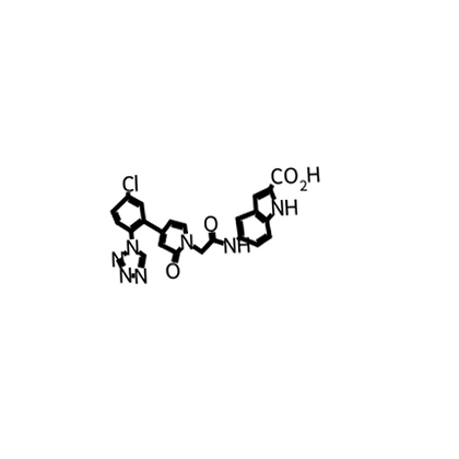 O=C(Cn1ccc(-c2cc(Cl)ccc2-n2cnnn2)cc1=O)Nc1ccc2[nH]c(C(=O)O)cc2c1